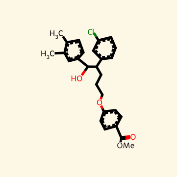 COC(=O)c1ccc(OCCCC(c2cccc(Cl)c2)C(O)c2ccc(C)c(C)c2)cc1